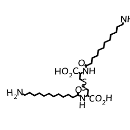 NCCCCCCCCCCCC(=O)NC(CSSCC(NC(=O)CCCCCCCCCCCN)C(=O)O)C(=O)O